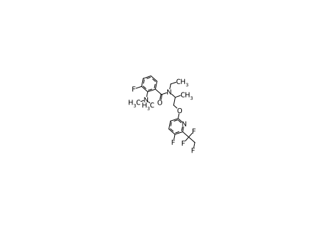 CCN(C(=O)c1cccc(F)c1N(C)C)C(C)COc1ccc(F)c(C(F)(F)CF)n1